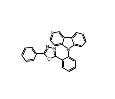 c1ccc(-c2nnc(-c3ccccc3-n3c4ccccc4c4cnccc43)o2)cc1